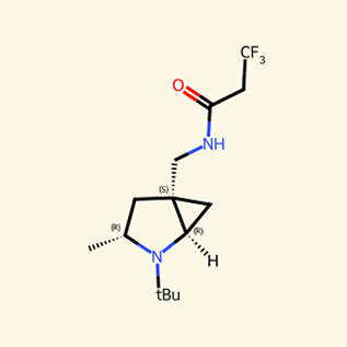 C[C@@H]1C[C@@]2(CNC(=O)CC(F)(F)F)C[C@H]2N1C(C)(C)C